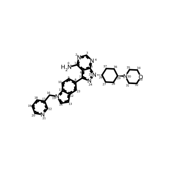 Nc1ncnc2c1c(-c1ccc3c(ccn3Cc3cccnc3)c1)nn2[C@H]1CC[C@H](N2CCOCC2)CC1